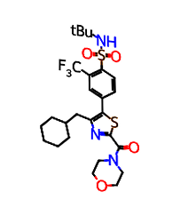 CC(C)(C)NS(=O)(=O)c1ccc(-c2sc(C(=O)N3CCOCC3)nc2CC2CCCCC2)cc1C(F)(F)F